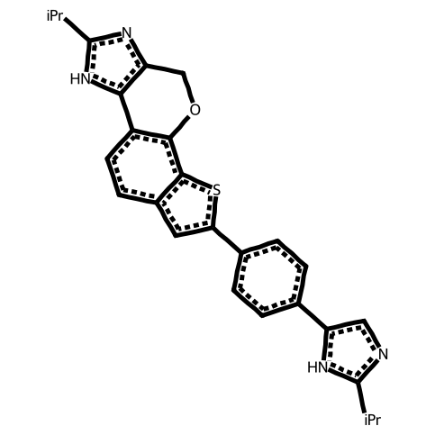 CC(C)c1ncc(-c2ccc(-c3cc4ccc5c(c4s3)OCc3nc(C(C)C)[nH]c3-5)cc2)[nH]1